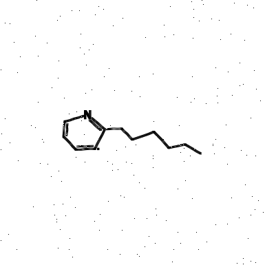 CCCCCCc1[c]cccn1